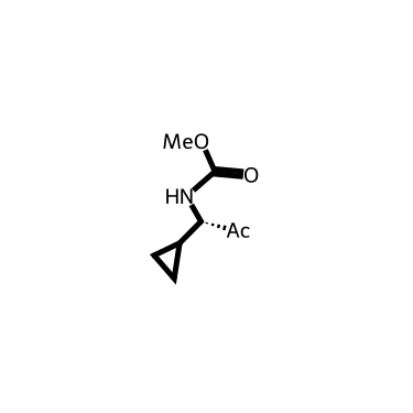 COC(=O)N[C@H](C(C)=O)C1CC1